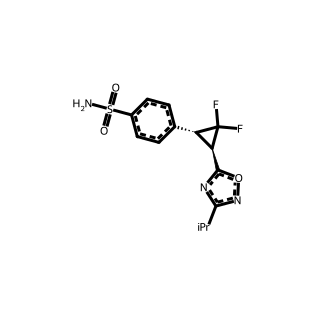 CC(C)c1noc([C@H]2[C@H](c3ccc(S(N)(=O)=O)cc3)C2(F)F)n1